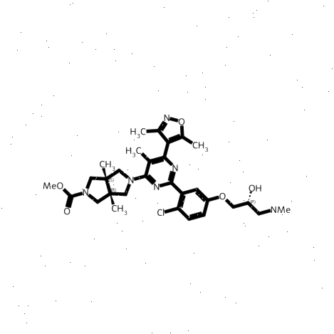 CNC[C@@H](O)COc1ccc(Cl)c(-c2nc(-c3c(C)noc3C)c(C)c(N3C[C@]4(C)CN(C(=O)OC)C[C@]4(C)C3)n2)c1